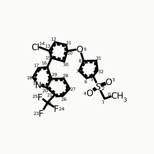 CCS(=O)(=O)c1ccc(Oc2ccc(Cl)c(-c3ccnc4c(C(F)(F)F)cccc34)c2)cc1